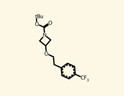 CC(C)(C)OC(=O)N1CC(OCCc2ccc(C(F)(F)F)cc2)C1